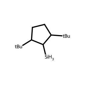 CC(C)(C)C1CCC(C(C)(C)C)C1[SiH3]